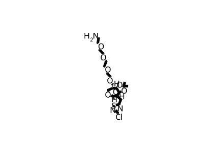 CC1(C)O[C@@H]2C(Cc3nc(Cl)ns3)[C@@H]3OC[C@](COCCOCCOCCOCCN)(O3)[C@@H]2O1